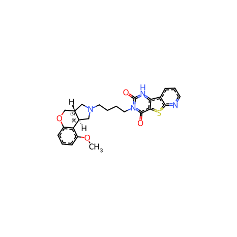 COc1cccc2c1[C@@H]1CN(CCCCn3c(=O)[nH]c4c(sc5ncccc54)c3=O)C[C@H]1CO2